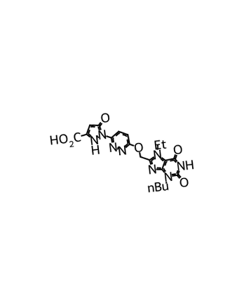 CCCCn1c(=O)[nH]c(=O)c2c1nc(COc1ccc(-n3[nH]c(C(=O)O)cc3=O)nn1)n2CC